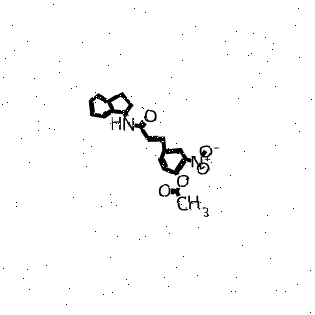 CC(=O)Oc1ccc(C=CC(=O)NC2CCc3ccccc32)cc1[N+](=O)[O-]